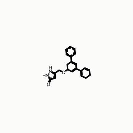 O=c1cc(COC2C=C(C3=CCCC=C3)C=C(c3ccccc3)C2)[nH][nH]1